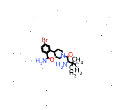 CC(C)(C)[C@H](N)C(=O)N1CCC(c2cc(Br)ccc2C(N)=O)CC1